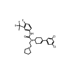 O=C(Nc1ccc(F)c(C(F)(F)F)c1)N(CCN1CCCC1)C1CC=C(c2cc(Cl)cc(Cl)c2)CC1